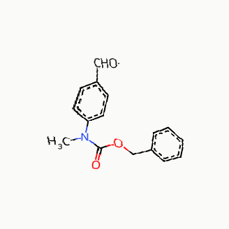 CN(C(=O)OCc1ccccc1)c1ccc([C]=O)cc1